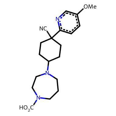 COc1ccc(C2(C#N)CCC(N3CCCN(C(=O)O)CC3)CC2)nc1